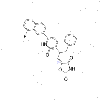 O=C1NC(=O)/C(=C\C(Cc2ccccc2)c2ccc(-c3ccc4cccc(F)c4c3)[nH]c2=O)O1